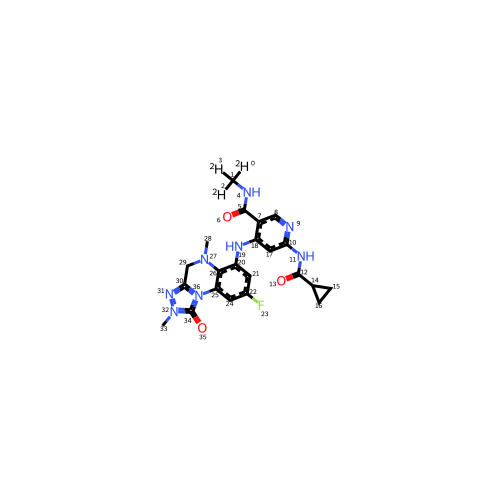 [2H]C([2H])([2H])NC(=O)c1cnc(NC(=O)C2CC2)cc1Nc1cc(F)cc2c1N(C)Cc1nn(C)c(=O)n1-2